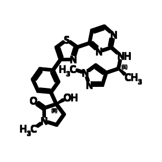 C[C@H](Nc1nccc(-c2nc(-c3cccc([C@]4(O)CCN(C)C4=O)c3)cs2)n1)c1cnn(C)c1